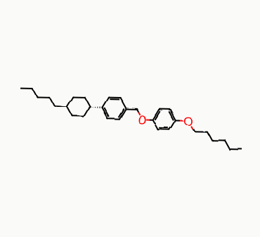 CCCCCCOc1ccc(OCc2ccc([C@H]3CC[C@H](CCCCC)CC3)cc2)cc1